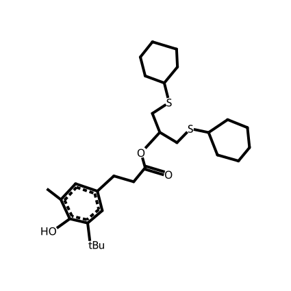 Cc1cc(CCC(=O)OC(CSC2CCCCC2)CSC2CCCCC2)cc(C(C)(C)C)c1O